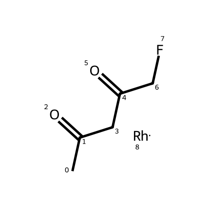 CC(=O)CC(=O)CF.[Rh]